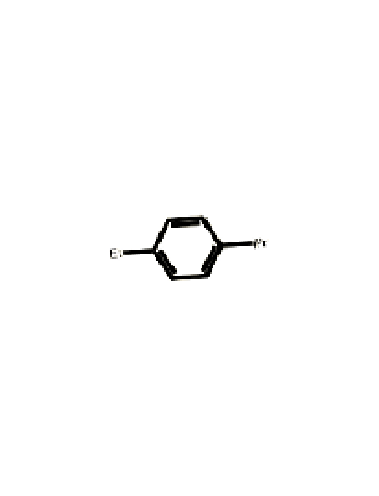 CCc1c[c]c(C(C)C)cc1